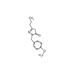 CCCC1=NN(Cc2ccc(OC)cc2)C(=O)C1